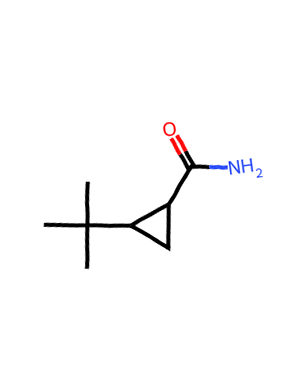 CC(C)(C)C1CC1C(N)=O